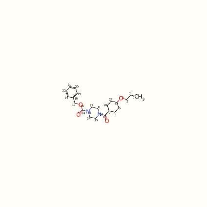 CCCO[C@H]1CC[C@@H](C(=O)N2CCN(C(=O)OCc3ccccc3)CC2)CC1